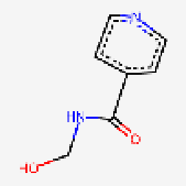 O=C(NCO)c1ccncc1